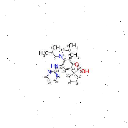 CC(C)CN(CC(C)C)c1ccc(C2(C(=O)O)CCCC2)cc1Nc1ncccn1